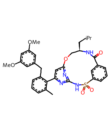 COc1cc(Cc2cccc(C)c2-c2cc3nc(n2)NS(=O)(=O)c2cccc(c2)C(=O)N[C@H](CC(C)C)CO3)cc(OC)c1